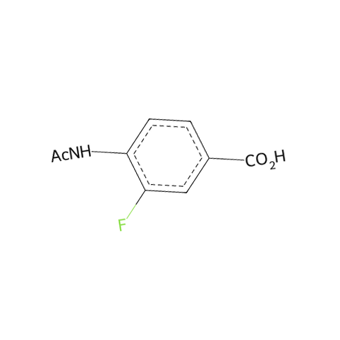 CC(=O)Nc1ccc(C(=O)O)cc1F